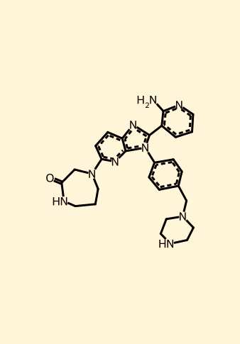 Nc1ncccc1-c1nc2ccc(N3CCCNC(=O)C3)nc2n1-c1ccc(CN2CCNCC2)cc1